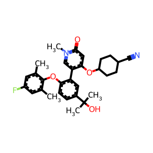 Cc1cc(F)cc(C)c1Oc1ccc(C(C)(C)O)cc1-c1cn(C)c(=O)cc1OC1CCC(C#N)CC1